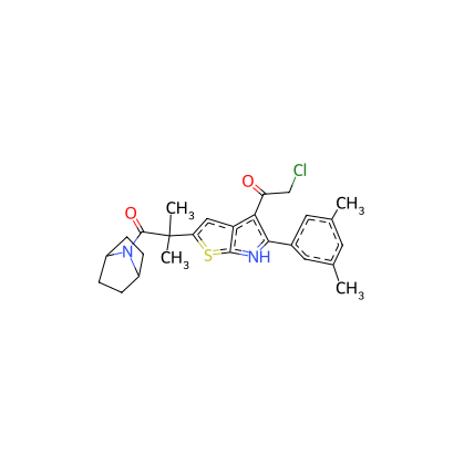 Cc1cc(C)cc(-c2[nH]c3sc(C(C)(C)C(=O)N4C5CCC4CC5)cc3c2C(=O)CCl)c1